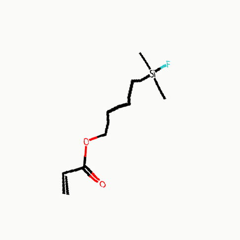 C=CC(=O)OCCCC[Si](C)(C)F